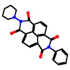 O=C1c2ccc3c4c(ccc(c24)C(=O)N1c1ccccc1)C(=O)N(N1CCCCC1)C3=O